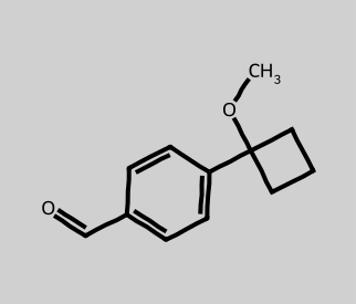 COC1(c2ccc(C=O)cc2)CCC1